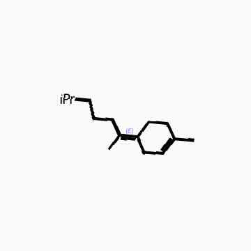 CC1=CC/C(=C(\C)CCCC(C)C)CC1